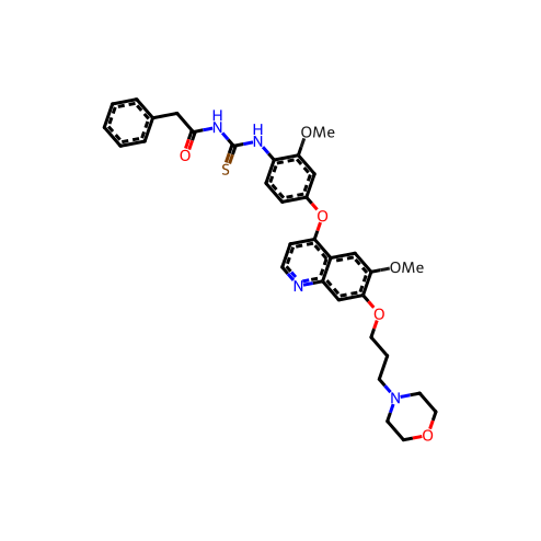 COc1cc(Oc2ccnc3cc(OCCCN4CCOCC4)c(OC)cc23)ccc1NC(=S)NC(=O)Cc1ccccc1